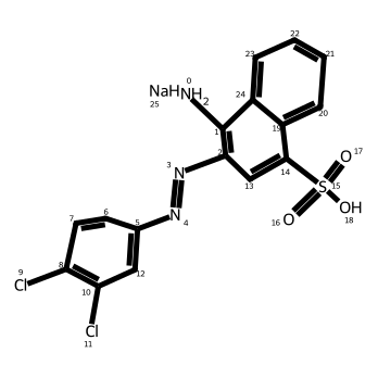 Nc1c(N=Nc2ccc(Cl)c(Cl)c2)cc(S(=O)(=O)O)c2ccccc12.[NaH]